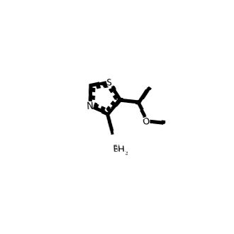 B.COC(C)c1scnc1C